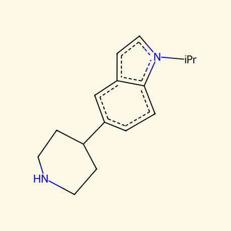 CC(C)n1ccc2cc(C3CCNCC3)ccc21